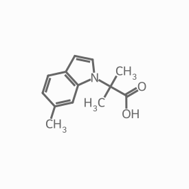 Cc1ccc2ccn(C(C)(C)C(=O)O)c2c1